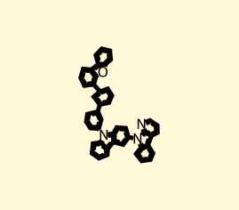 c1cc(-c2cccc(-n3c4ccccc4c4cc(-n5c6ccccc6c6cccnc65)ccc43)c2)cc(-c2cccc3c2oc2ccccc23)c1